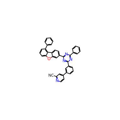 N#Cc1cc(-c2cccc(-c3nc(-c4ccccc4)nc(-c4ccc5c(c4)oc4cccc(-c6ccccc6)c45)n3)c2)ccn1